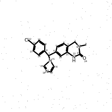 CN1Cc2ccc(C(c3ccc(Cl)cc3)n3ccnc3)cc2NC1=O